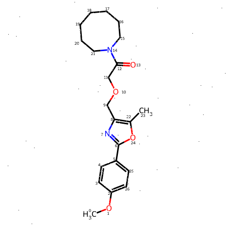 COc1ccc(-c2nc(COCC(=O)N3CCCCCCC3)c(C)o2)cc1